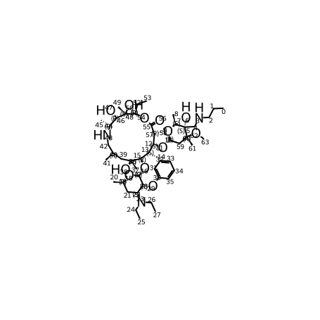 CCCNC[C@]1(O)[C@H](C)O[C@@H](O[C@H]2[C@H](C)[C@@H](O[C@@H]3O[C@H](C)C[C@H](N(CC)CC)[C@H]3Oc3ccccc3)[C@](C)(O)C[C@@H](C)CN[C@H](C)[C@@H](O)[C@](C)(O)[C@@H](CC)OC(=O)[C@@H]2C)C[C@@]1(C)OC